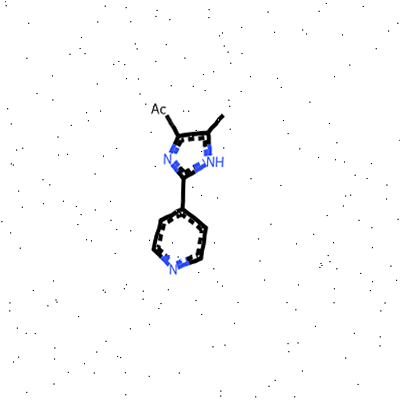 CC(=O)c1nc(-c2ccncc2)[nH]c1C